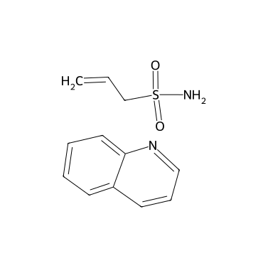 C=CCS(N)(=O)=O.c1ccc2ncccc2c1